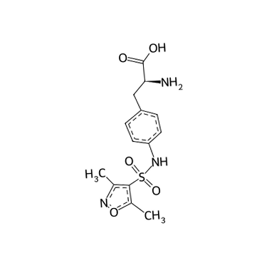 Cc1noc(C)c1S(=O)(=O)Nc1ccc(C[C@H](N)C(=O)O)cc1